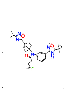 C=C(F)CCC(=O)N(CC12CCC(c3nc(C(C)C)no3)=C(C1)C2)c1cccc(C2=NOC(C3(C)CC3)N2)c1